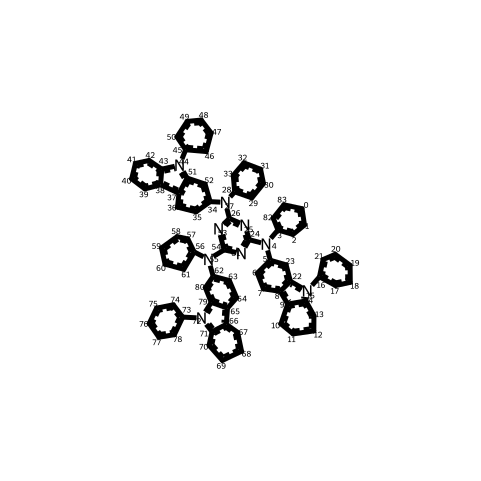 c1ccc(N(c2ccc3c4ccccc4n(-c4ccccc4)c3c2)c2nc(N(c3ccccc3)c3ccc4c5ccccc5n(-c5ccccc5)c4c3)nc(N(c3ccccc3)c3ccc4c5ccccc5n(-c5ccccc5)c4c3)n2)cc1